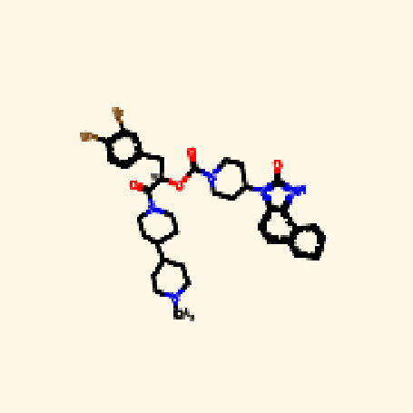 CN1CCC(C2CCN(C(=O)[C@@H](Cc3ccc(Br)c(Br)c3)OC(=O)N3CCC(n4c(=O)[nH]c5c6ccccc6ccc54)CC3)CC2)CC1